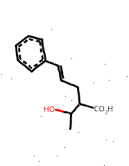 CC(O)C(CC=Cc1ccccc1)C(=O)O